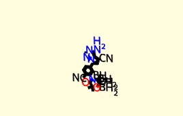 BC1(B)OC(C)(C)C(=O)N(c2cc(-c3cc(C#N)c4c(N)ncnn34)ccc2C#N)C1(B)B